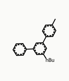 CCCCc1cc(-c2ccccc2)cc(-c2ccc(C)cc2)c1